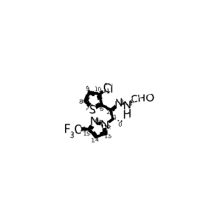 C[C@@H](C(=NNC=O)c1sccc1Cl)n1ccc(C(F)(F)F)n1